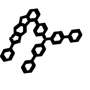 c1ccc(-c2ccc(N(c3ccc(-c4ccccc4)cc3)c3ccc(-c4cccc5oc6cc7oc(-c8ccccc8)nc7cc6c45)cc3)cc2)cc1